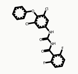 O=C(NC(=O)c1c(F)cccc1F)Nc1cc(Cl)c(Oc2ccccc2)c(Cl)c1